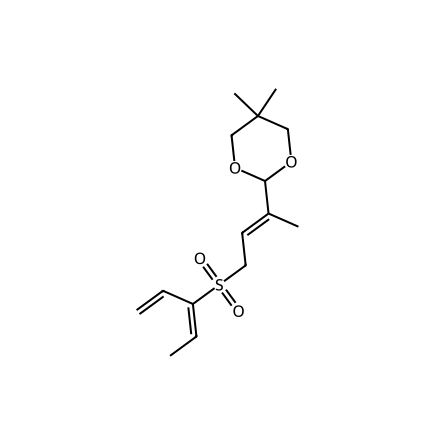 C=C/C(=C\C)S(=O)(=O)C/C=C(\C)C1OCC(C)(C)CO1